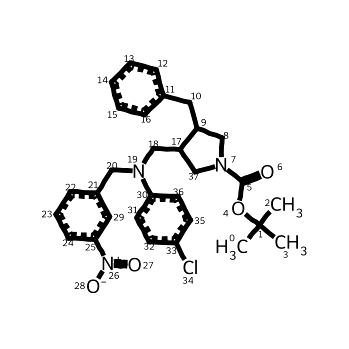 CC(C)(C)OC(=O)N1CC(Cc2ccccc2)C(CN(Cc2cccc([N+](=O)[O-])c2)c2ccc(Cl)cc2)C1